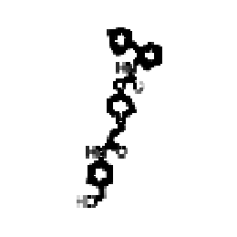 O=C(CCN1CCC(OC(=O)Nc2ccccc2-c2ccccc2)CC1)Nc1ccc(CO)cc1